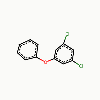 Clc1cc(Cl)cc(Oc2cc[c]cc2)c1